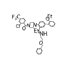 CCOc1ccccc1-c1ccc(N2CCN(C(=O)c3ccc(C(F)(F)F)cc3Cl)C[C@H]2CC)c(CNCCOCc2ccccc2)c1